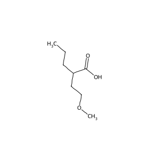 CCCC(CCOC)C(=O)O